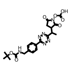 CC(c1nnc(-c2ccc(CNC(=O)OC(C)(C)C)cc2)nn1)C1CC(=O)N(OC(=O)O)C1=O